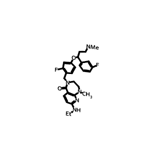 CCNc1ccc2c(n1)N(C)CCN(Cc1ccc(OC(CCNC)c3cccc(F)c3)cc1F)C2=O